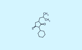 CC(C)CC1CC(=S)C(C2CCCCC2)C1=O